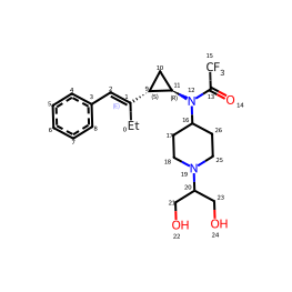 CC/C(=C\c1ccccc1)[C@@H]1C[C@H]1N(C(=O)C(F)(F)F)C1CCN(C(CO)CO)CC1